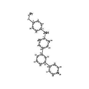 CC(C)Cc1ccc(Nc2ncc(-c3cccc(-c4ccncc4)c3)cn2)cc1